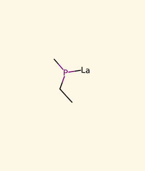 CC[P](C)[La]